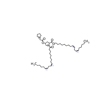 CCCCC/C=C\C/C=C\CCCCCCCCOC(=O)C1CC(OC(=O)CN2CCCC2)CN1C(=O)CCCCCCC/C=C\C/C=C\CCCCC